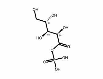 O=C(OP(=O)(O)O)[C@H](O)[C@@H](O)[C@@H](O)CO